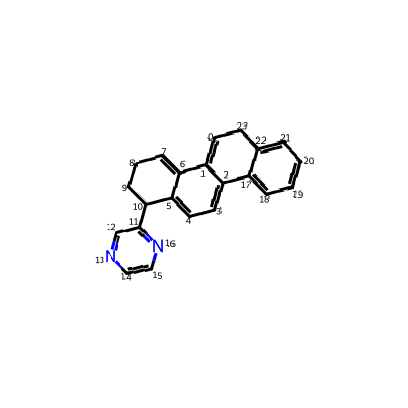 C1=c2c(ccc3c2=CCCC3c2cnccn2)-c2ccccc2C1